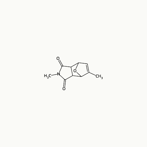 CC1=CC2OC1C1C(=O)N(C)C(=O)C21